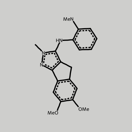 CNc1ccccc1Nc1c2c(nn1C)-c1cc(OC)c(OC)cc1C2